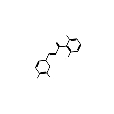 COC1=C(O)C=CC(C=CC(=O)c2c(O)cccc2O)C1